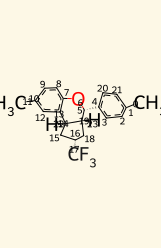 Cc1ccc([C@H]2Oc3ccc(C)cc3[C@H]3C[C@@H](C(F)(F)F)C[C@H]32)cc1